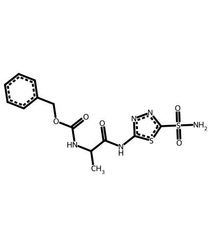 CC(NC(=O)OCc1ccccc1)C(=O)Nc1nnc(S(N)(=O)=O)s1